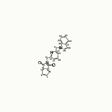 O=C1c2ccccc2C(=O)N1Cc1cccc(Cn2ccc3ccccc32)n1